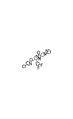 N#CC1(C(=O)N2CCC(COc3ccc(Cl)cn3)C(c3ccc(F)c(F)c3)C2)CCN(c2ccccn2)CC1